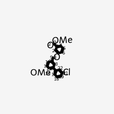 COC(=O)c1cccc(OCc2ccc(OC)c(-c3cccc(Cl)c3)c2)c1